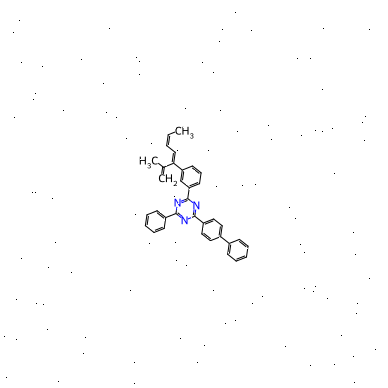 C=C(C)/C(=C\C=C/C)c1cccc(-c2nc(-c3ccccc3)nc(-c3ccc(-c4ccccc4)cc3)n2)c1